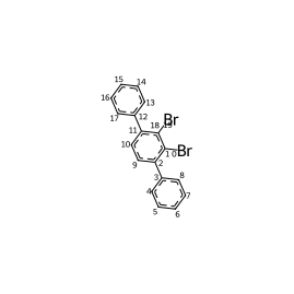 Brc1c(-c2ccccc2)ccc(-c2ccccc2)c1Br